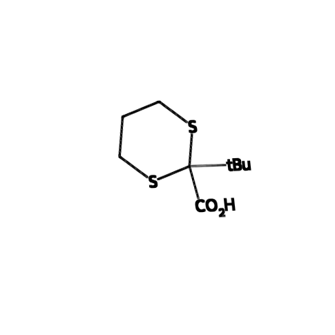 CC(C)(C)C1(C(=O)O)SCCCS1